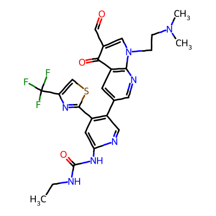 CCNC(=O)Nc1cc(-c2nc(C(F)(F)F)cs2)c(-c2cnc3c(c2)c(=O)c(C=O)cn3CCN(C)C)cn1